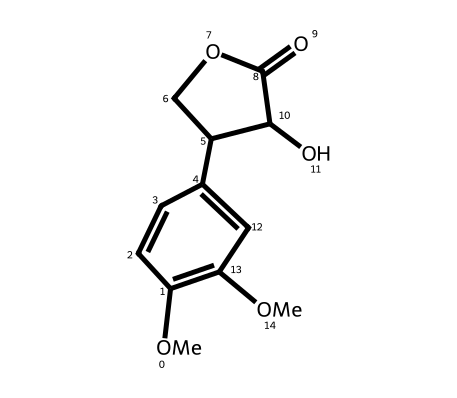 COc1ccc(C2COC(=O)C2O)cc1OC